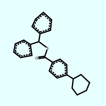 O=C(SC(c1ccccc1)c1ccccc1)c1ccc(C2CCCCC2)cc1